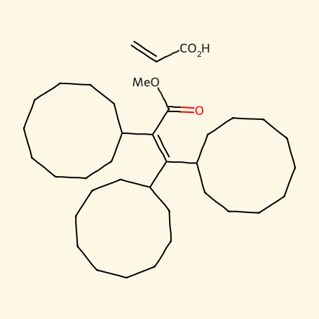 C=CC(=O)O.COC(=O)C(=C(C1CCCCCCCCC1)C1CCCCCCCCC1)C1CCCCCCCCC1